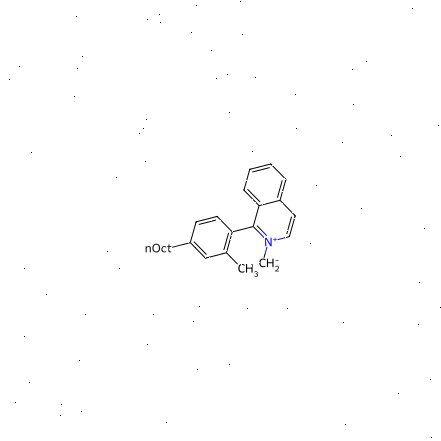 [CH2-][n+]1ccc2ccccc2c1-c1ccc(CCCCCCCC)cc1C